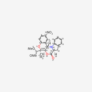 COC(OC)[C@@]1(C)Oc2ccc([N+](=O)[O-])cc2[C@H]2[C@H]1OC(=O)[C@@H]1Cc3ccccc3N12